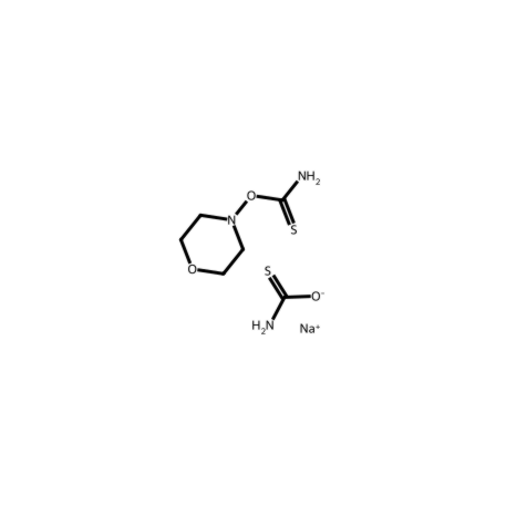 NC(=S)ON1CCOCC1.NC([O-])=S.[Na+]